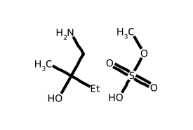 CCC(C)(O)CN.COS(=O)(=O)O